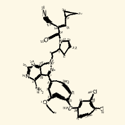 COc1cc(-c2nn(CC3CCCN3C(=O)/C(C#N)=C/C3CC3)c3ncnc(N)c23)ccc1Oc1ccc(Cl)c(Cl)c1